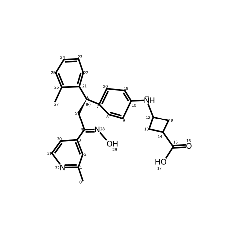 Cc1cc(C(C[C@H](c2ccc(NC3CC(C(=O)O)C3)cc2)c2ccccc2C)=NO)ccn1